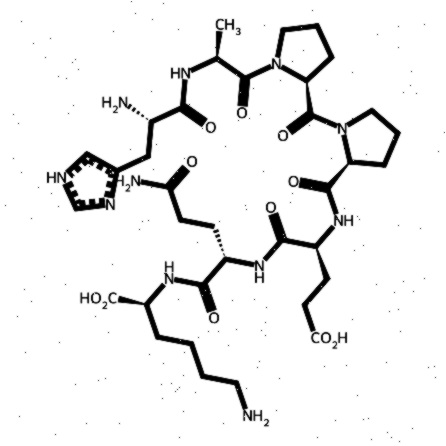 C[C@H](NC(=O)[C@@H](N)Cc1c[nH]cn1)C(=O)N1CCC[C@H]1C(=O)N1CCC[C@H]1C(=O)N[C@@H](CCC(=O)O)C(=O)N[C@@H](CCC(N)=O)C(=O)N[C@@H](CCCCN)C(=O)O